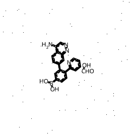 Nc1cnnc2cc(-c3cc(B(O)O)ccc3-c3ccccn3)ccc12.O=CO